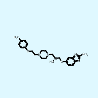 Cc1ccc(OCCN2CCN(C[C@@H](O)COc3ccc4sc(C)nc4c3)CC2)cc1